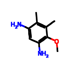 COc1c(N)cc(N)c(C)c1C